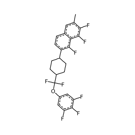 Cc1cc2ccc(C3CCC(C(F)(F)Oc4cc(F)c(F)c(F)c4)CC3)c(F)c2c(F)c1F